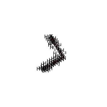 CCC(C)OC(C)CC.Cn1ccnc1.Cn1ccnc1.Cn1ccnc1.Cn1ccnc1.Cn1ccnc1.Cn1ccnc1.Cn1ccnc1.Cn1ccnc1.Cn1ccnc1.Cn1ccnc1.Cn1ccnc1.Cn1ccnc1.OB(O)F.OB(O)F.OB(O)F.OB(O)F.OB(O)F.OB(O)F